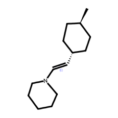 C[C@H]1CC[C@H](/C=C/N2CCCCC2)CC1